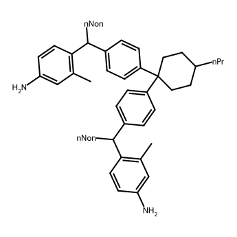 CCCCCCCCCC(c1ccc(C2(c3ccc(C(CCCCCCCCC)c4ccc(N)cc4C)cc3)CCC(CCC)CC2)cc1)c1ccc(N)cc1C